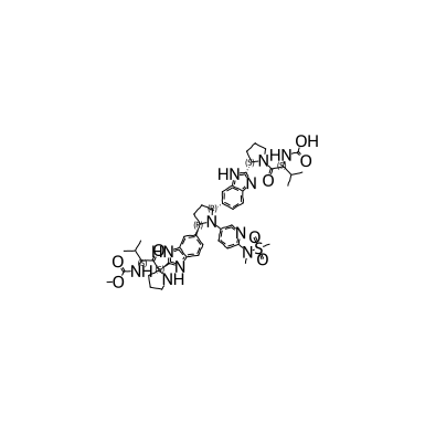 COC(=O)N[C@H](C(=O)[C@@]1(c2nc3ccc([C@H]4CC[C@H](c5ccc6nc([C@@H]7CCCN7C(=O)[C@@H](NC(=O)O)C(C)C)[nH]c6c5)N4c4ccc(N(C)S(C)(=O)=O)nc4)cc3[nH]2)CCCN1)C(C)C